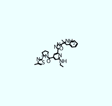 CCNc1cc(C(=O)N2CCC[C@@H]2c2nc(C)cs2)cc(-c2nnc([C@](C)(N)Cc3ccccc3)o2)n1